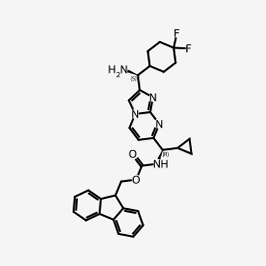 N[C@H](c1cn2ccc([C@H](NC(=O)OCC3c4ccccc4-c4ccccc43)C3CC3)nc2n1)C1CCC(F)(F)CC1